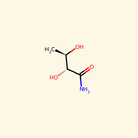 [CH2][C@@H](O)[C@@H](O)C(N)=O